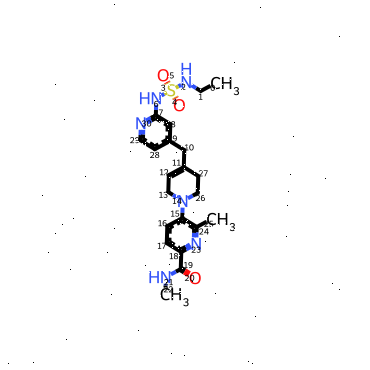 CCNS(=O)(=O)Nc1cc(CC2=CCN(c3ccc(C(=O)NC)nc3C)CC2)ccn1